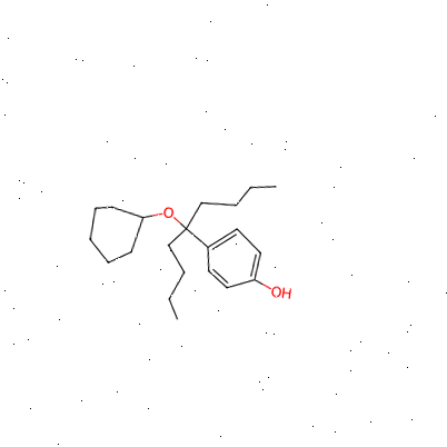 CCCCC(CCCC)(OC1CCCCC1)c1ccc(O)cc1